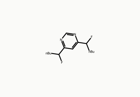 CCCCC(F)c1cc(C(F)CCCC)ncn1